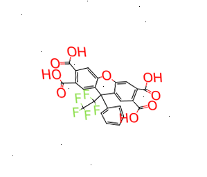 O=C(O)c1cc2c(cc1C(=O)O)C(c1ccccc1)(C(F)(F)C(F)(F)F)c1cc(C(=O)O)c(C(=O)O)cc1O2